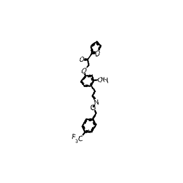 O=C(COc1ccc(CC=NOCc2ccc(C(F)(F)F)cc2)c(O)c1)c1ccco1